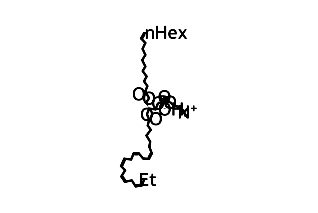 CC/C=C\C/C=C\C/C=C\C/C=C\C/C=C\CCCCCC(=O)O[C@H](COC(=O)CCCCCCCCC/C=C\CCCCCC)COP(=O)(O)OCC[N+](C)(C)C